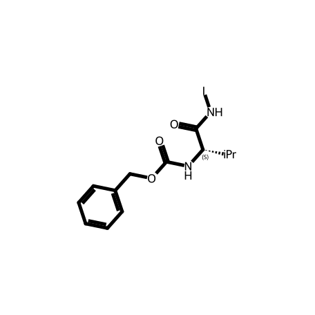 CC(C)[C@H](NC(=O)OCc1ccccc1)C(=O)NI